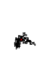 C=CC(=O)OC(C)NS(=O)(=O)C(F)(F)C(F)(F)C(F)(F)C(F)(F)F